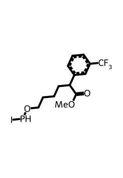 COC(=O)C(CCCCOPI)c1cccc(C(F)(F)F)c1